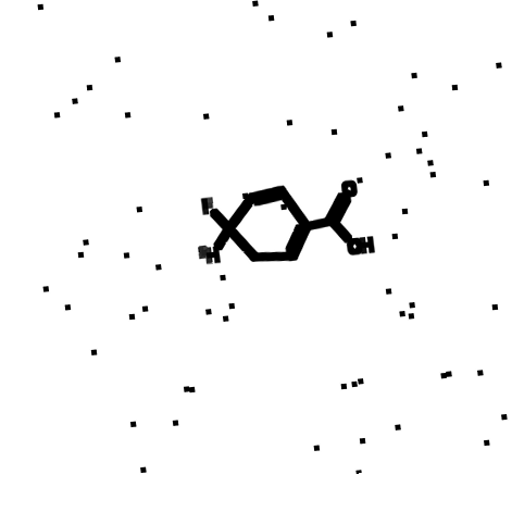 [2H]C1(F)C=CC(C(=O)O)=CC1